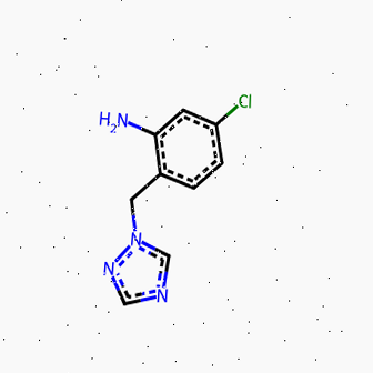 Nc1cc(Cl)ccc1Cn1cncn1